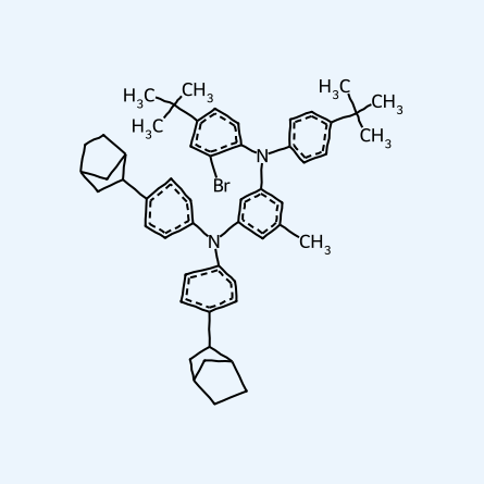 Cc1cc(N(c2ccc(C3CC4CCC3C4)cc2)c2ccc(C3CC4CCC3C4)cc2)cc(N(c2ccc(C(C)(C)C)cc2)c2ccc(C(C)(C)C)cc2Br)c1